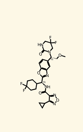 COC[C@H](c1ccc2oc([C@@H](NC(=O)c3nonc3C3CC3)C3CCC(F)(F)CC3)nc2c1)N1CC(F)(F)CNC1=O